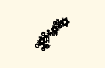 CN(c1ccccc1)S(=O)(=O)c1ccc(NC(=S)NC(=O)c2ccc(Cl)c([N+](=O)[O-])c2)cc1